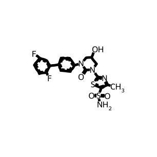 Cc1nc(N2CC(O)CN(c3ccc(-c4cc(F)ccc4F)cc3)C2=O)sc1S(N)(=O)=O